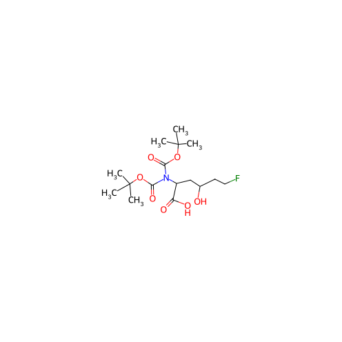 CC(C)(C)OC(=O)N(C(=O)OC(C)(C)C)C(CC(O)CCF)C(=O)O